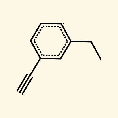 C#Cc1cc[c]c(CC)c1